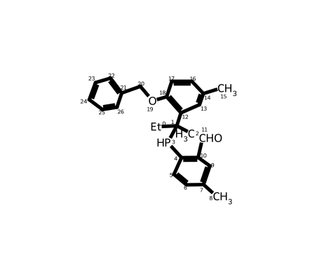 CCC(C)(Pc1ccc(C)cc1C=O)c1cc(C)ccc1OCc1ccccc1